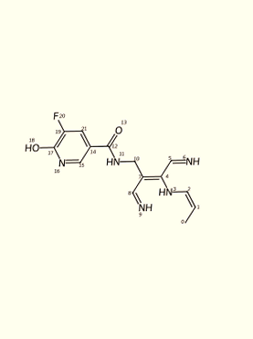 C/C=C\N/C(C=N)=C(\C=N)CNC(=O)c1cnc(O)c(F)c1